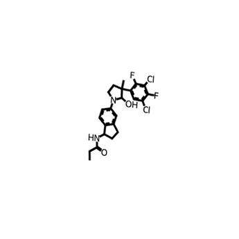 CCC(=O)NC1CCc2cc(N3CCC(C)(c4cc(Cl)c(F)c(Cl)c4F)C3O)ccc21